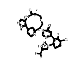 C[C@@H]1CCC[C@H](n2cnc(-c3c(N4C=C(C(F)F)NN4)ccc(Cl)c3F)cc2=O)c2cc(ccn2)-c2c(cnn2C)NC1=O